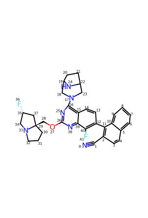 N#Cc1ccc2ccccc2c1-c1ccc2c(N3CC4CCC(C3)N4)nc(OC[C@@]34CCCN3C[C@H](F)C4)nc2c1F